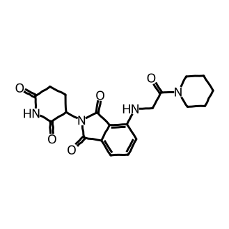 O=C1CCC(N2C(=O)c3cccc(NCC(=O)N4CCCCC4)c3C2=O)C(=O)N1